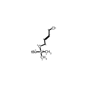 CC(C)(C)[Si](C)(C)OCC=CCCl